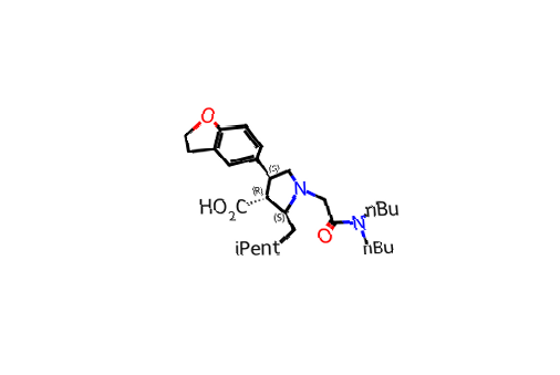 CCCCN(CCCC)C(=O)CN1C[C@H](c2ccc3c(c2)CCO3)[C@@H](C(=O)O)[C@@H]1CC(C)CCC